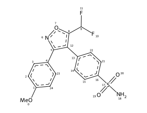 COc1ccc(-c2noc(C(F)F)c2-c2ccc(S(N)(=O)=O)cc2)cc1